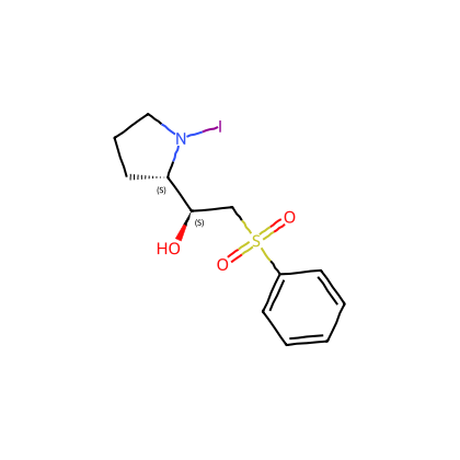 O=S(=O)(C[C@@H](O)[C@@H]1CCCN1I)c1ccccc1